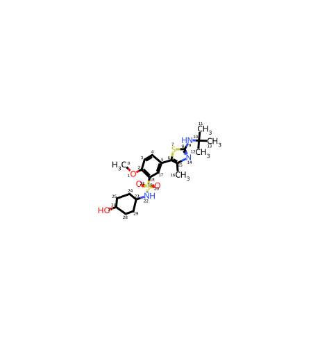 COc1ccc(-c2sc(NC(C)(C)C)nc2C)cc1S(=O)(=O)NC1CCC(O)CC1